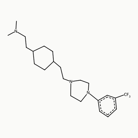 CN(C)CCC1CCC(CCN2CCN(c3cccc(C(F)(F)F)c3)CC2)CC1